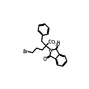 O=C1c2ccccc2C(=O)N1C(CCCBr)(Cc1ccccc1)C(=O)O